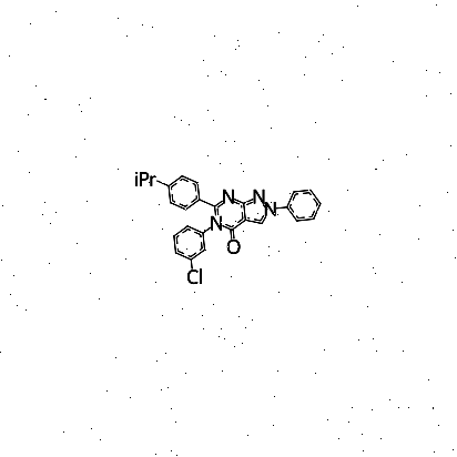 CC(C)c1ccc(-c2nc3nn(-c4ccccc4)cc3c(=O)n2-c2cccc(Cl)c2)cc1